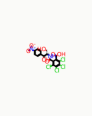 O=C(O)c1c(Cl)c(Cl)c(Cl)c(Cl)c1C(=O)N[C@@H](CO)[C@@H](O)c1ccc([N+](=O)[O-])cc1